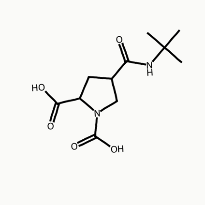 CC(C)(C)NC(=O)C1CC(C(=O)O)N(C(=O)O)C1